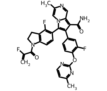 C=C(F)C(=O)N1CCc2c1ccc(-c1c(-c3ccc(Oc4nccc(C)n4)c(F)c3)c(C(N)=O)c3cnc(C)cn13)c2F